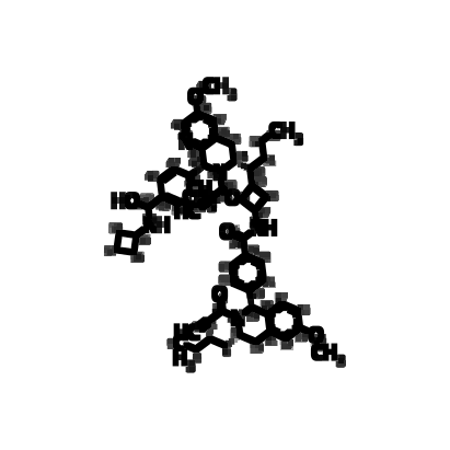 C#CC(=O)N1[C@@H](CCCC)Cc2cc(OC)ccc2[C@@H]1c1ccc(C(=O)NC2CC(C(CCC)[C@H]3Cc4cc(OC)cnc4[C@H](C(=C)/C=C\C(=C/C)C(O)NC4CCC4)N3C(=O)C#C)C2)cc1